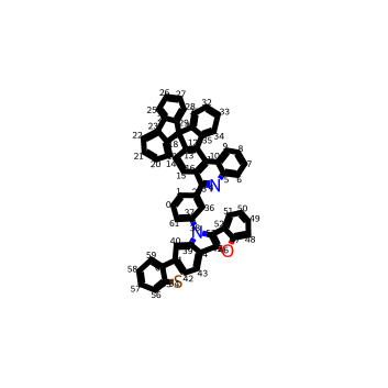 c1cc(-c2nc3ccccc3c3c4c(ccc23)C2(c3ccccc3-c3ccccc32)c2ccccc2-4)cc(-n2c3cc4c(cc3c3oc5ccccc5c32)sc2ccccc24)c1